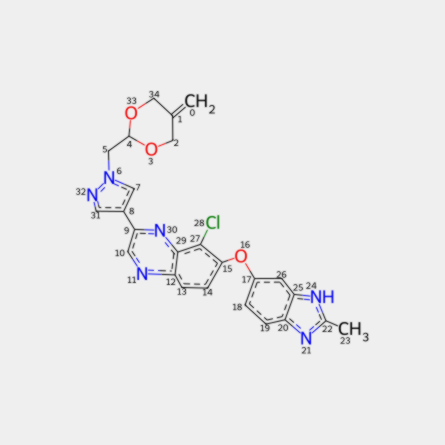 C=C1COC(Cn2cc(-c3cnc4ccc(Oc5ccc6nc(C)[nH]c6c5)c(Cl)c4n3)cn2)OC1